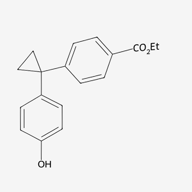 CCOC(=O)c1ccc(C2(c3ccc(O)cc3)CC2)cc1